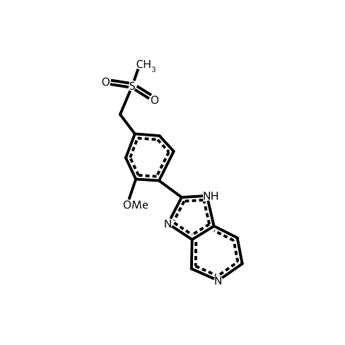 COc1cc(CS(C)(=O)=O)ccc1-c1nc2cnccc2[nH]1